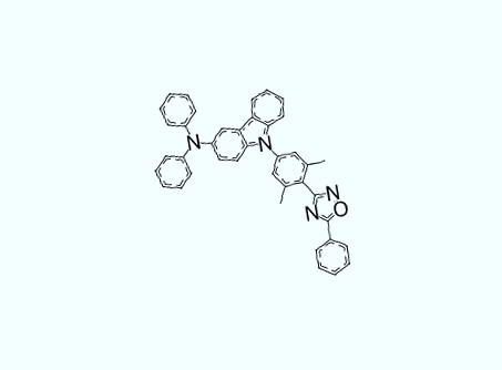 Cc1cc(-n2c3ccccc3c3cc(N(c4ccccc4)c4ccccc4)ccc32)cc(C)c1-c1noc(-c2ccccc2)n1